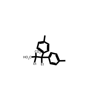 CCC(C(=O)O)(C(=O)O)C(CC)(c1ccc(C)cc1)c1ccc(C)cc1